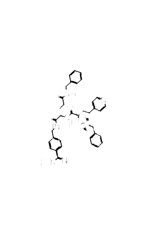 N=C(N)c1ccc(CNC(=O)[C@H](CCC(=O)NCc2ccccc2)NC(=O)[C@@H](CCc2ccncc2)NS(=O)(=O)Cc2ccccc2)cc1